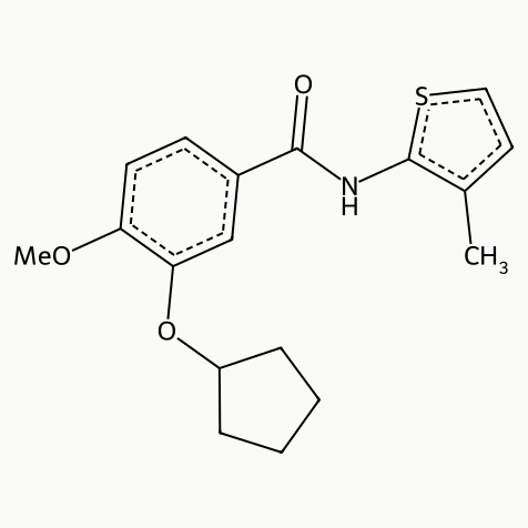 COc1ccc(C(=O)Nc2sccc2C)cc1OC1CCCC1